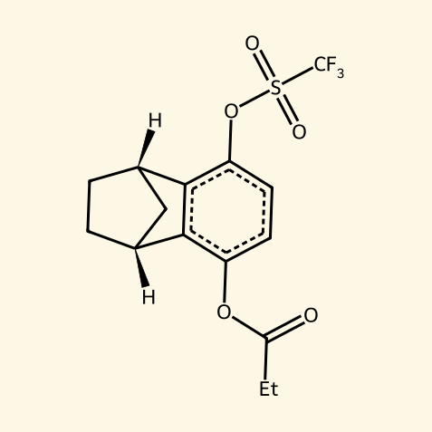 CCC(=O)Oc1ccc(OS(=O)(=O)C(F)(F)F)c2c1[C@@H]1CC[C@H]2C1